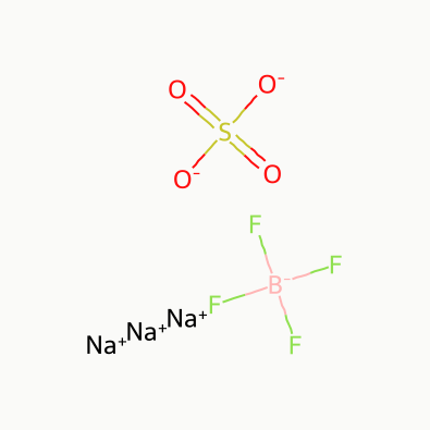 F[B-](F)(F)F.O=S(=O)([O-])[O-].[Na+].[Na+].[Na+]